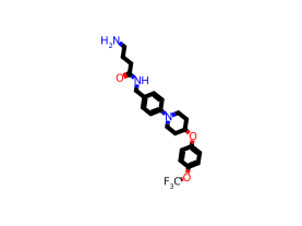 NCCCC(=O)NCc1ccc(N2CCC(Oc3ccc(OC(F)(F)F)cc3)CC2)cc1